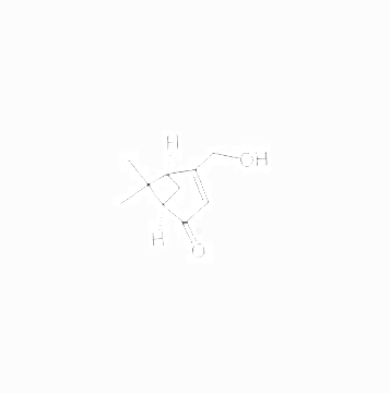 CC1(C)[C@@H]2C[C@H]1C(=O)C=C2CO